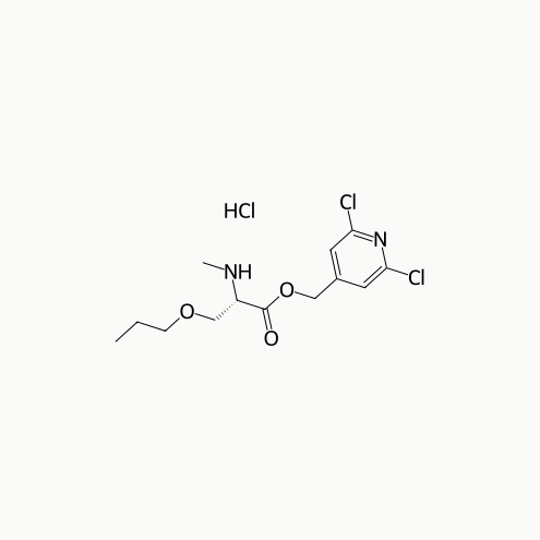 CCCOC[C@H](NC)C(=O)OCc1cc(Cl)nc(Cl)c1.Cl